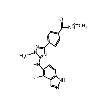 CCNC(=O)c1ccc(-c2nc(Nc3ccc4[nH]ncc4c3Cl)n(C)n2)cc1